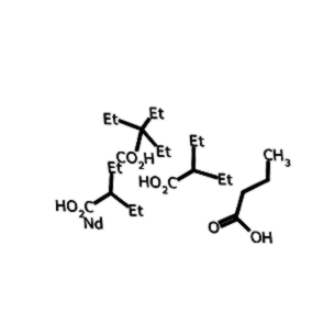 CCC(CC)(CC)C(=O)O.CCC(CC)C(=O)O.CCC(CC)C(=O)O.CCCC(=O)O.[Nd]